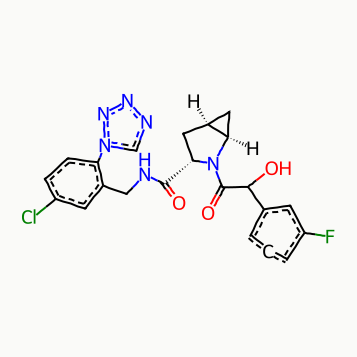 O=C(NCc1cc(Cl)ccc1-n1cnnn1)[C@@H]1C[C@H]2C[C@H]2N1C(=O)C(O)c1cccc(F)c1